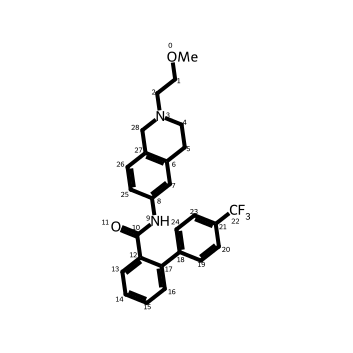 COCCN1CCc2cc(NC(=O)c3ccccc3-c3ccc(C(F)(F)F)cc3)ccc2C1